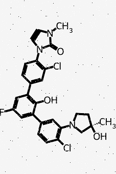 Cn1c#cn(-c2ccc(-c3cc(F)cc(-c4ccc(Cl)c(N5CC[C@@](C)(O)C5)c4)c3O)cc2Cl)c1=O